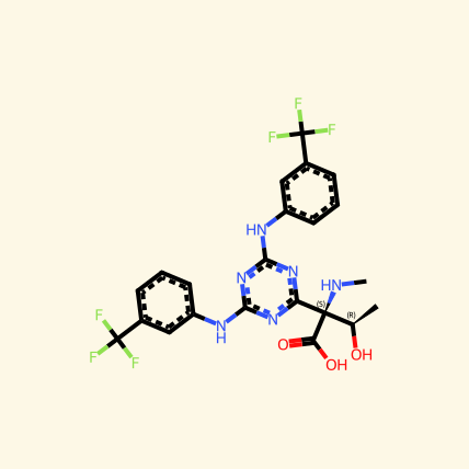 CN[C@@](C(=O)O)(c1nc(Nc2cccc(C(F)(F)F)c2)nc(Nc2cccc(C(F)(F)F)c2)n1)[C@@H](C)O